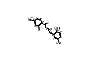 O=C(N/N=C/c1cc(Br)ccc1O)c1ccc(Br)cc1Br